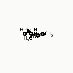 COc1cc2c(-c3ccccc3)c(C)oc2cc1-c1nc2ccc(N3CCN(C)CC3)cc2[nH]1